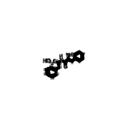 NC(Cc1ccccc1)C(=O)N[C@@H](Cc1ccccc1)C(=O)O